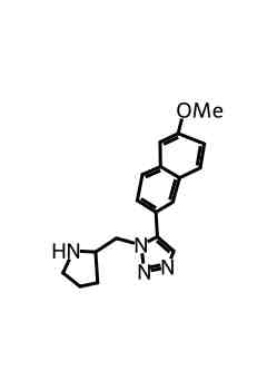 COc1ccc2cc(-c3cnnn3CC3CCCN3)ccc2c1